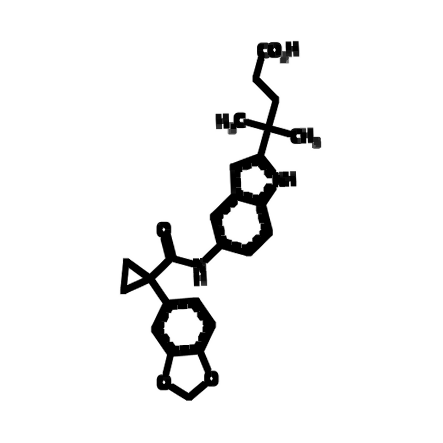 CC(C)(CCC(=O)O)c1cc2cc(NC(=O)C3(c4ccc5c(c4)OCO5)CC3)ccc2[nH]1